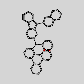 c1ccc2c(c#1)c1ccc(N(c3ccccc3)c3cccc4c5ccccc5c5ccccc5c34)cc1n2-c1ccc2ccccc2c1